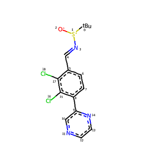 CC(C)(C)[S+]([O-])/N=C/c1ccc(-c2cnccn2)c(Cl)c1Cl